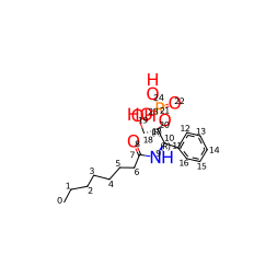 CCCCCCCC(=O)N[C@H](c1ccccc1)[C@H](CO)OP(=O)(O)O